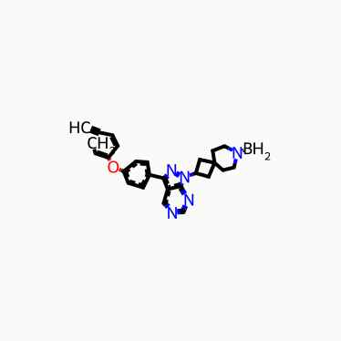 BN1CCC2(CC1)CC(n1nc(-c3ccc(OC(/C=C\C#C)=C/C)cc3)c3cncnc31)C2